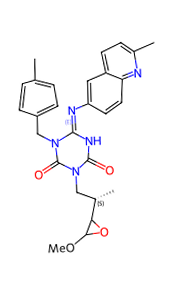 COC1OC1[C@@H](C)Cn1c(=O)[nH]/c(=N\c2ccc3nc(C)ccc3c2)n(Cc2ccc(C)cc2)c1=O